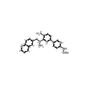 CSNc1ccc(-c2ccc(N)c(N(N)Cc3ccc4ncccc4c3)n2)cn1